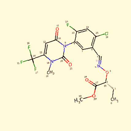 CC[C@@H](O/N=C/c1cc(-n2c(=O)cc(C(F)(F)F)n(C)c2=O)c(F)cc1Cl)C(=O)OC